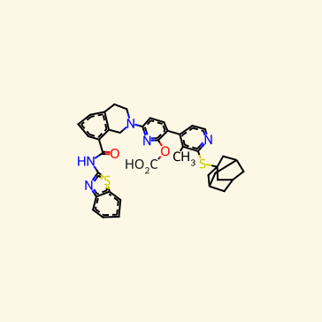 Cc1c(-c2ccc(N3CCc4cccc(C(=O)Nc5nc6ccccc6s5)c4C3)nc2OC(=O)O)ccnc1SC12CC3CC(CC(C3)C1)C2